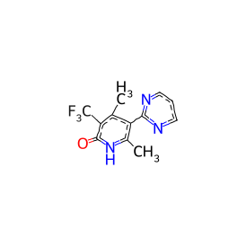 Cc1[nH]c(=O)c(C(F)(F)F)c(C)c1-c1ncccn1